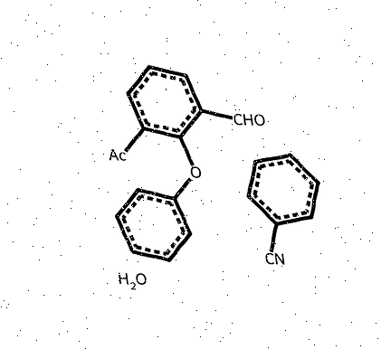 CC(=O)c1cccc(C=O)c1Oc1ccccc1.N#Cc1ccccc1.O